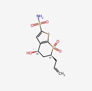 C=CC[C@H]1C[C@@H](O)c2cc(S(N)(=O)=O)sc2S1(=O)=O